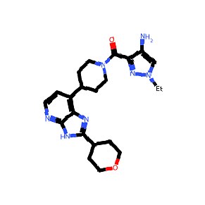 CCn1cc(N)c(C(=O)N2CCC(c3ccnc4[nH]c(C5CCOCC5)nc34)CC2)n1